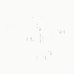 CCc1cc(O[C@H]2CCOC2)c(F)c(C(Nc2ccc3c(N)nccc3c2)c2nc(-c3ccccc3C(N)=O)c[nH]2)c1